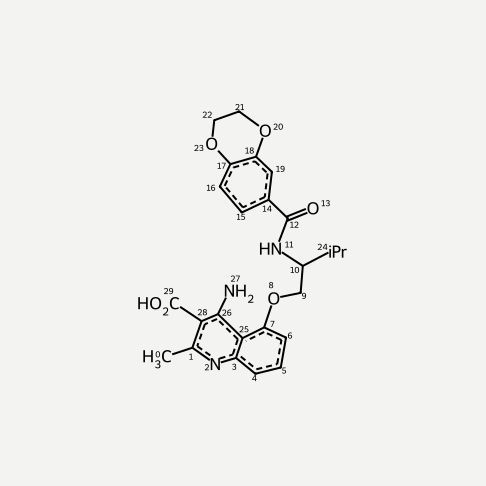 Cc1nc2cccc(OCC(NC(=O)c3ccc4c(c3)OCCO4)C(C)C)c2c(N)c1C(=O)O